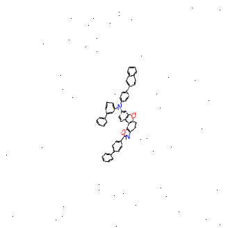 c1ccc(-c2ccc(-c3nc4ccc5oc6cc(N(c7ccc(-c8ccc9ccccc9c8)cc7)c7cccc(-c8ccccc8)c7)ccc6c5c4o3)cc2)cc1